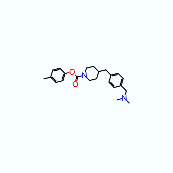 Cc1ccc(OC(=O)N2CCC(Cc3ccc(CN(C)C)cc3)CC2)cc1